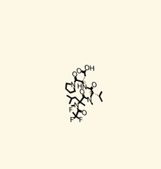 CC(C)CC(C)(C(=O)N(C)[C@H](C(=O)N[C@@H](CC(=O)O)C(=O)N1CCCC1)C(C)C)N(C)C(=O)C(F)(F)F